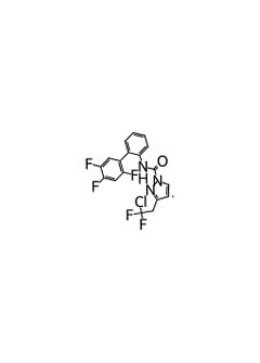 O=C(Nc1ccccc1-c1cc(F)c(F)cc1F)n1c[c]c(CC(F)(F)Cl)n1